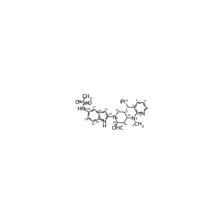 CC(C)Cc1cccnc1N(C)C1CCN(c2cc3cc(NS(C)(=O)=O)ccc3[nH]2)C(C=O)C1